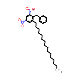 CCCCCCCCCCCCCCCCc1cc([N+](=O)[O-])cc([N+](=O)[O-])c1Cc1ccccc1